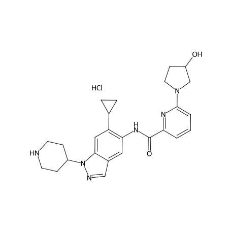 Cl.O=C(Nc1cc2cnn(C3CCNCC3)c2cc1C1CC1)c1cccc(N2CCC(O)C2)n1